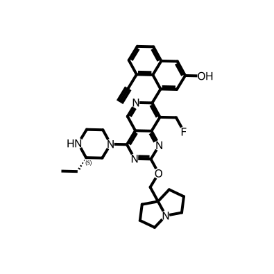 C#Cc1cccc2cc(O)cc(-c3ncc4c(N5CCN[C@@H](CC)C5)nc(OCC56CCCN5CCC6)nc4c3CF)c12